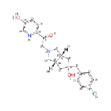 O=C(CN1C[C@@H]2CC(O)(Cc3ccc(Cl)cc3)C[C@@H]2C1)c1ccc(O)cn1